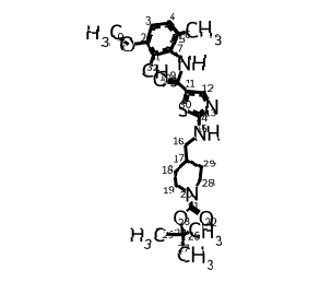 COc1ccc(C)c(NC(=O)c2cnc(NCC3CCN(C(=O)OC(C)(C)C)CC3)s2)c1C